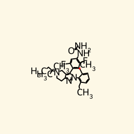 CCc1cccc(CC)c1-n1nc2c(c1-c1cc(F)c(NC(N)=O)cc1F)CN(C(C)(C)CC)CC2